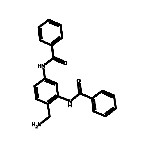 NCc1ccc(NC(=O)c2ccccc2)cc1NC(=O)c1ccccc1